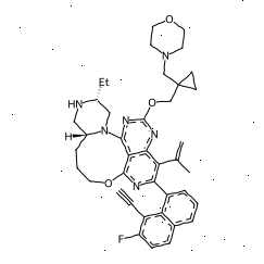 C#Cc1c(F)ccc2cccc(-c3nc4c5c(nc(OCC6(CN7CCOCC7)CC6)nc5c3C(=C)C)N3C[C@@H](CC)NC[C@H]3CCCO4)c12